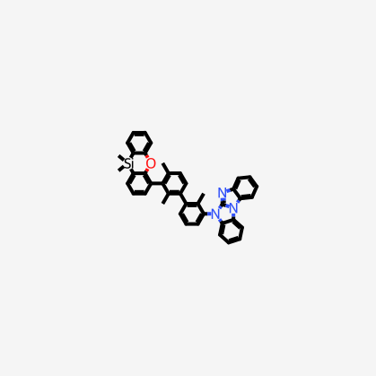 Cc1ccc(-c2cccc(-n3c4ccccc4n4c5ccccc5nc34)c2C)c(C)c1-c1cccc2c1Oc1ccccc1[Si]2(C)C